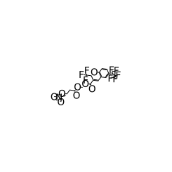 O=C(CCO[N+](=O)[O-])OCOC(=O)C1=Cc2cc(S(F)(F)(F)(F)F)ccc2OC1C(F)(F)F